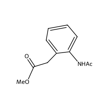 COC(=O)Cc1ccccc1NC(C)=O